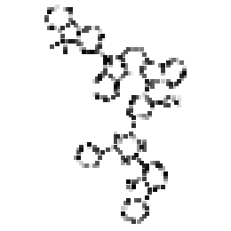 CC1(C)c2ccccc2-c2ccc(-n3c4ccccc4c4c3ccc3c5ccccc5n(-c5ccc(-c6nc(-c7ccccc7)nc(-c7cccc8c7oc7ccccc78)n6)cc5C#N)c34)cc21